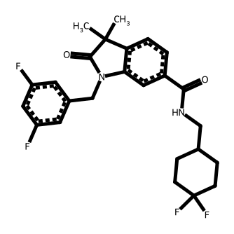 CC1(C)C(=O)N(Cc2cc(F)cc(F)c2)c2cc(C(=O)NCC3CCC(F)(F)CC3)ccc21